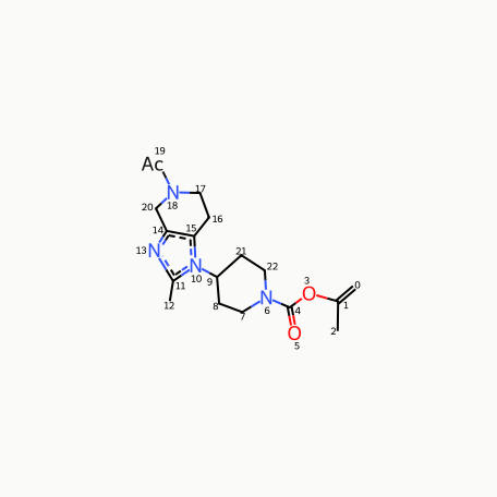 C=C(C)OC(=O)N1CCC(n2c(C)nc3c2CCN(C(C)=O)C3)CC1